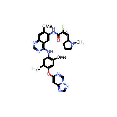 COc1cc2ncnc(Nc3cc(C)c(Oc4cc5ncnn5cn4)cc3OC)c2cc1NC(=O)/C(F)=C\C1CCCN1C